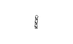 CN1CCC(N2CCC(N3CCCCC3)CC2)CC1